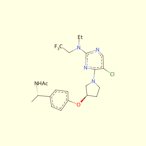 CCN(CC(F)(F)F)c1ncc(Cl)c(N2CC[C@@H](Oc3ccc([C@H](C)NC(C)=O)cc3)C2)n1